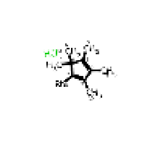 CC1=C(C)C(C)(C)[C]([Rh])=C1C.Cl